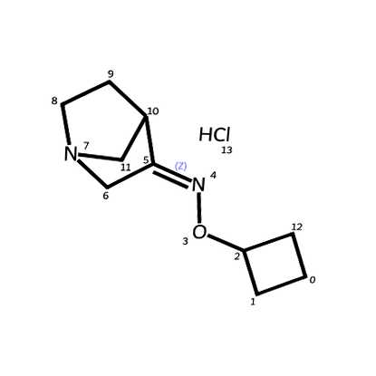 C1CC(O/N=C2\CN3CCC2C3)C1.Cl